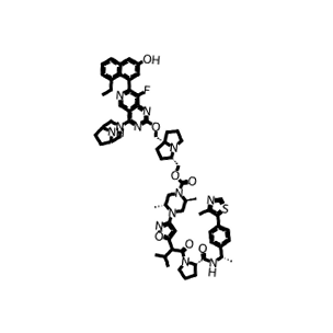 CCc1cccc2cc(O)cc(-c3ncc4c(N5CC6CCC(C5)N6)nc(OC[C@]56CCCN5[C@H](COC(=O)N5C[C@@H](C)N(c7cc(C(C(=O)N8CCC[C@H]8C(=O)N[C@@H](C)c8ccc(-c9scnc9C)cc8)C(C)C)on7)C[C@@H]5C)CC6)nc4c3F)c12